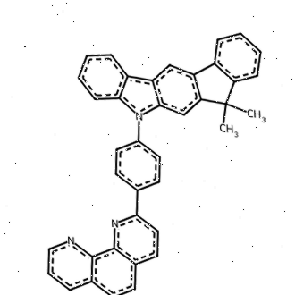 CC1(C)c2ccccc2-c2cc3c4ccccc4n(-c4ccc(-c5ccc6ccc7cccnc7c6n5)cc4)c3cc21